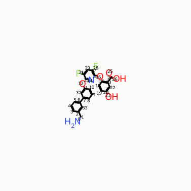 NCc1cccc(-c2cccc(Oc3nc(Oc4ccc(O)cc4C(=O)O)c(F)cc3F)c2)c1